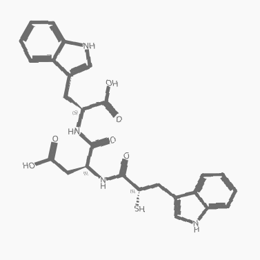 O=C(O)C[C@H](NC(=O)[C@@H](S)Cc1c[nH]c2ccccc12)C(=O)N[C@@H](Cc1c[nH]c2ccccc12)C(=O)O